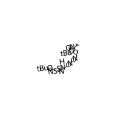 CN(C(=O)OC(C)(C)C)C(C1=CCC(CN2CCC(N3CCC(CNc4ncc(SCc5ncc(C(C)(C)C)o5)s4)CC3)CC2)C=C1)C1CC1